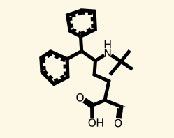 CC(C)(C)NC(CCC([C]=O)C(=O)O)C(c1ccccc1)c1ccccc1